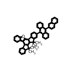 CC1(C)c2cc(-c3c4ccccc4c(-c4ccc5ccccc5c4)c4ccccc34)ccc2-c2c1c1c(c3c2oc2ccccc23)-c2ccccc2C1(C)C